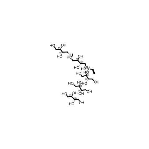 C=CC(=O)O.OC[C@@H](O)[C@@H](O)CO.OC[C@@H](O)[C@@H](O)CO.OC[C@@H](O)[C@@H](O)CO.OC[C@@H](O)[C@@H](O)CO.OC[C@@H](O)[C@@H](O)CO